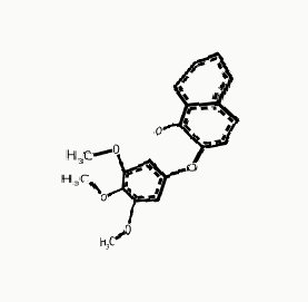 COc1cc(Oc2ccc3ccccc3c2[O])cc(OC)c1OC